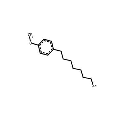 CC(=O)CCCCCCCc1ccc(OC(F)(F)F)cc1